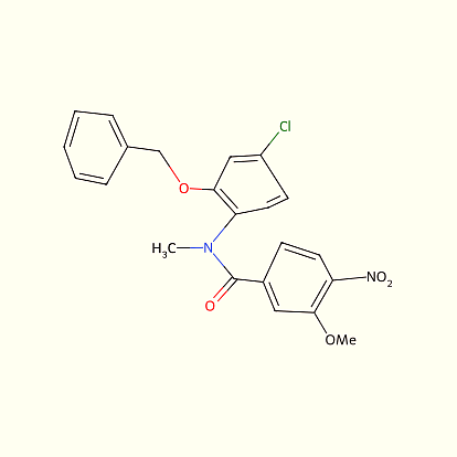 COc1cc(C(=O)N(C)c2ccc(Cl)cc2OCc2ccccc2)ccc1[N+](=O)[O-]